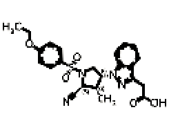 CCOc1ccc(S(=O)(=O)N2C[C@H](n3nc(CC(=O)O)c4ccccc43)[C@H](C)[C@H]2C#N)cc1